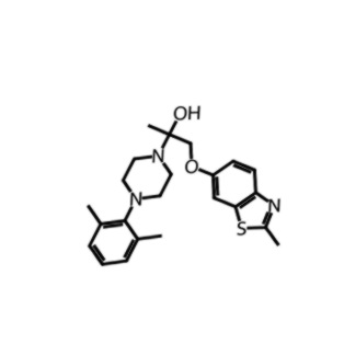 Cc1nc2ccc(OCC(C)(O)N3CCN(c4c(C)cccc4C)CC3)cc2s1